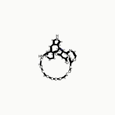 O=C1CC(=O)n2cc3occnc2/C1=C1/C=C2CCN=C(NCCOCCOCCOCCOC3)C2=Cc2c[nH]cc21